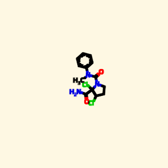 CN(C(=O)N1CCC(Cl)C1(Cl)C(N)=O)c1ccccc1